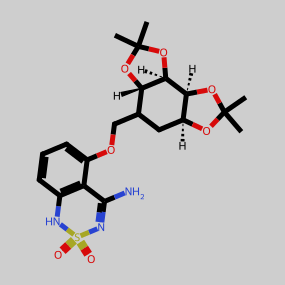 CC1(C)O[C@@H]2[C@@H]3OC(C)(C)O[C@H]3C(COc3cccc4c3C(N)=NS(=O)(=O)N4)C[C@@H]2O1